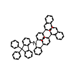 c1ccc(C2(c3ccccc3)c3ccccc3-c3c(N(c4ccc(-c5ccc6ccccc6c5)cc4)c4ccccc4-c4ccc(-c5cccc6ccccc56)cc4)cccc32)cc1